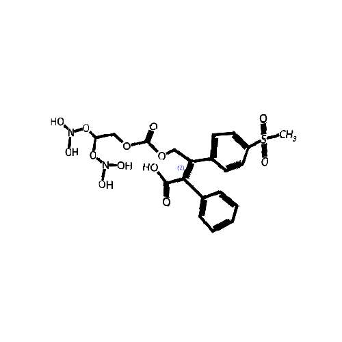 CS(=O)(=O)c1ccc(/C(COC(=O)OCC(ON(O)O)ON(O)O)=C(/C(=O)O)c2ccccc2)cc1